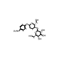 CC(=O)Nc1ccc(O[C@@H]2CC[C@H](OC3O[C@H](CO)[C@@H](O)C(O)[C@H]3O)[C@@H](CO)O2)cc1